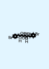 OC(=Cc1ccc(Br)cc1)[C@@H](O)[C@@H](O)[C@H](O)[C@@H](O)C(O)=Cc1ccc(Br)cc1